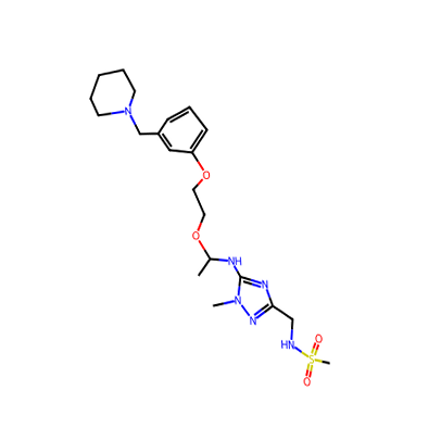 CC(Nc1nc(CNS(C)(=O)=O)nn1C)OCCOc1cccc(CN2CCCCC2)c1